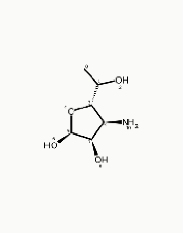 CC(O)[C@H]1O[C@H](O)[C@H](O)[C@@H]1N